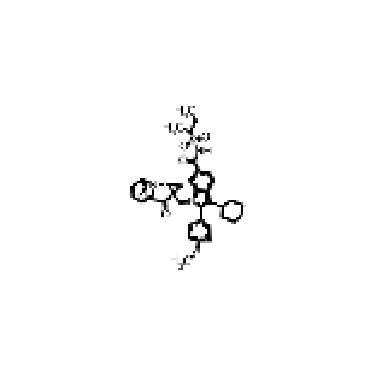 CCC(C)S(=O)(=O)NC(=O)c1ccc2c(C3CCCCC3)c(-c3ccc(OC)cc3)n(CC3(C(=O)N4CC5CCC4CN5)CC3)c2c1